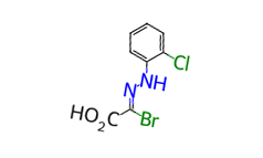 O=C(O)C(Br)=NNc1ccccc1Cl